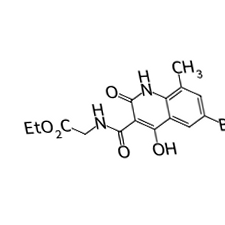 CCOC(=O)CNC(=O)c1c(O)c2cc(Br)cc(C)c2[nH]c1=O